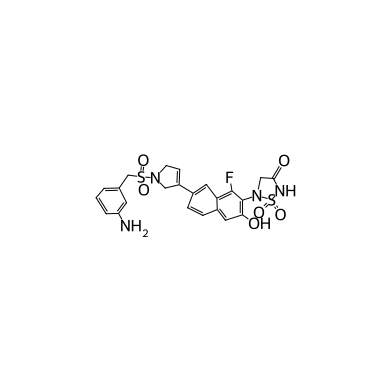 Nc1cccc(CS(=O)(=O)N2CC=C(c3ccc4cc(O)c(N5CC(=O)NS5(=O)=O)c(F)c4c3)C2)c1